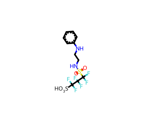 O=S(=O)(O)C(F)(F)C(F)(F)C(F)(F)S(=O)(=O)NCCNc1ccccc1